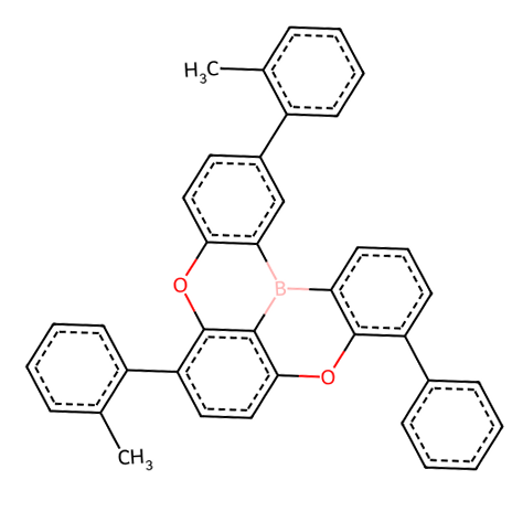 Cc1ccccc1-c1ccc2c(c1)B1c3cccc(-c4ccccc4)c3Oc3ccc(-c4ccccc4C)c(c31)O2